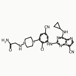 N#Cc1cc(Nc2nc(NC3CC3)c3ncc(C#N)n3n2)c(Cl)c(N2CCN(NCC(N)=O)CC2)c1